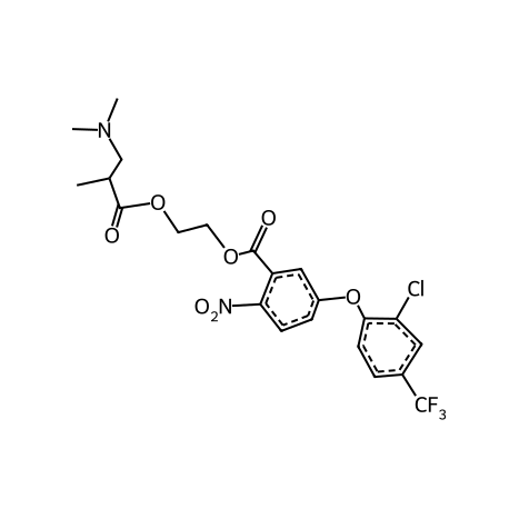 CC(CN(C)C)C(=O)OCCOC(=O)c1cc(Oc2ccc(C(F)(F)F)cc2Cl)ccc1[N+](=O)[O-]